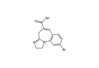 O=C(O)C1=Cc2ccc(Br)cc2N2CCN=C2C1